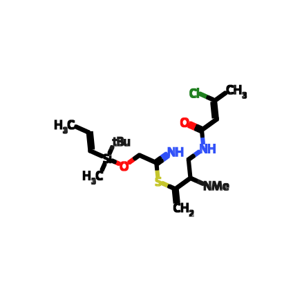 C=C(SC(=N)CO[Si](C)(/C=C/C)C(C)(C)C)C(CNC(=O)/C=C(/C)Cl)NC